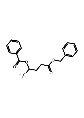 CC(CCC(=O)OCc1ccccc1)OC(=O)c1ccccc1